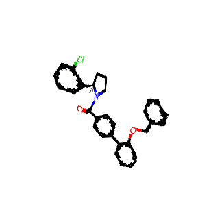 O=C(c1ccc(-c2ccccc2OCc2ccccc2)cc1)N1CCC[C@@H]1c1ccccc1Cl